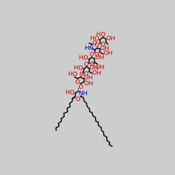 CCCCCCCCCCCCC/C=C/[C@@H](O)[C@H](CO[C@@H]1OC(CO)[C@@H](O[C@@H]2OC(CO)[C@H](O)[C@H](O[C@H]3OC(CO)[C@H](O)[C@H](O[C@@H]4OC(CO)[C@@H](O)[C@H](O[C@H]5OC(C)[C@@H](O)C(O)[C@@H]5O)C4NC(C)=O)C3O)C2O)[C@H](O)C1O)NC(=O)CCCCCCCCCCCCCCCCCCCCC